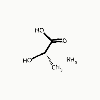 C[C@H](O)C(=O)O.N